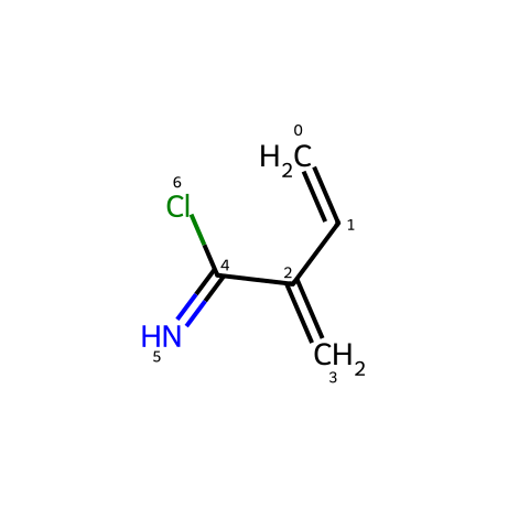 C=CC(=C)C(=N)Cl